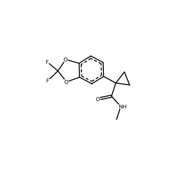 CNC(=O)C1(c2ccc3c(c2)OC(F)(F)O3)CC1